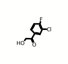 O=C(CO)c1ccc(F)c(Cl)c1